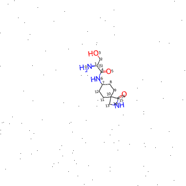 N[C@@H](CO)C(=O)NC1CCC2(CC1)CNC2=O